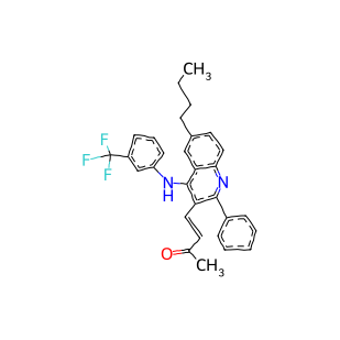 CCCCc1ccc2nc(-c3ccccc3)c(/C=C/C(C)=O)c(Nc3cccc(C(F)(F)F)c3)c2c1